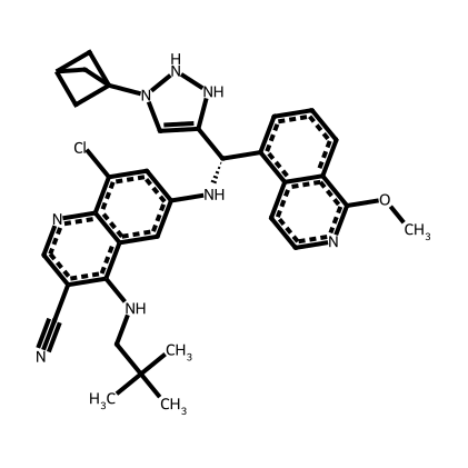 COc1nccc2c([C@H](Nc3cc(Cl)c4ncc(C#N)c(NCC(C)(C)C)c4c3)C3=CN(C45CC(C4)C5)NN3)cccc12